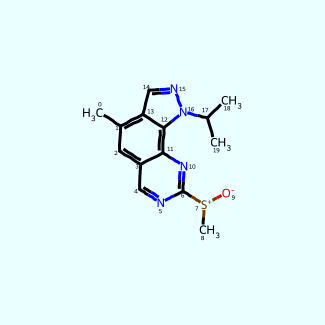 Cc1cc2cnc([S+](C)[O-])nc2c2c1cnn2C(C)C